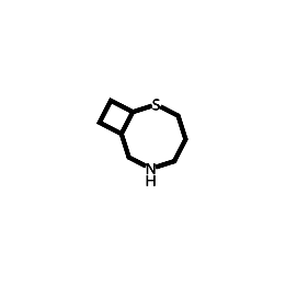 C1CNCC2CCC2SC1